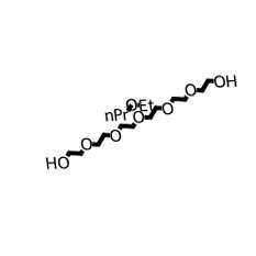 CCCOCC.OCCOCCOCCOCCOCCOCCO